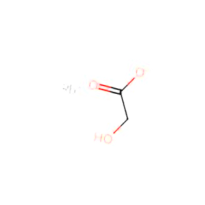 O=C([O-])CO.[Rb+]